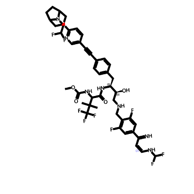 COC(=O)NC(C(=O)N[C@@H](Cc1ccc(C#Cc2ccc(N3CC4CCC(C3)N4CC(F)F)nc2)cc1)[C@@H](O)CNCc1c(F)cc(C(=N)/C=C\NC(F)F)cc1F)C(C)(C)C(F)(F)F